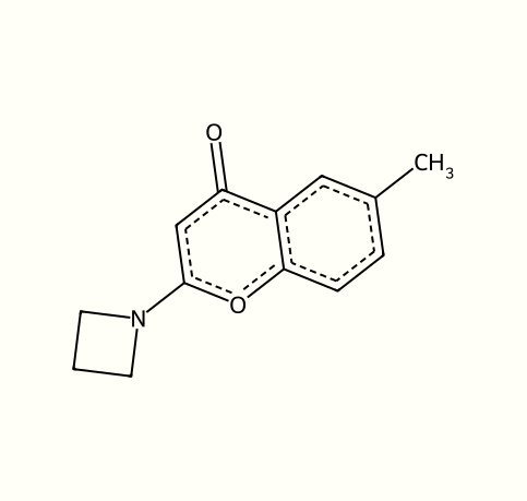 Cc1ccc2oc(N3CCC3)cc(=O)c2c1